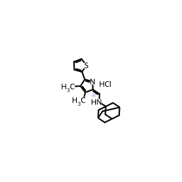 CC1=C(C)/C(=C\NC23CC4CC(CC(C4)C2)C3)N=C1c1cccs1.Cl